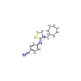 N#Cc1ccc(/N=C2\SCCN2CC2CCCCCC2)cc1